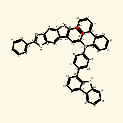 c1ccc(-c2nc3cc4oc5ccc(N(c6ccc(-c7cccc8c7oc7ccccc78)cc6)c6ccccc6-c6ccccc6)cc5c4cc3o2)cc1